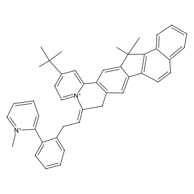 C[n+]1ccccc1-c1ccccc1C/C=C1/Cc2cc3c(cc2-c2cc(C(C)(C)C)cc[n+]21)C(C)(C)c1c-3ccc2ccccc12